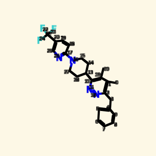 Cc1c(Cc2ccccc2)nnc(C2CCN(c3ccc(C(F)(F)F)cn3)CC2)c1C